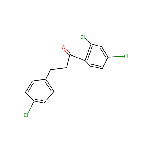 O=C(CCc1ccc(Cl)cc1)c1ccc(Cl)cc1Cl